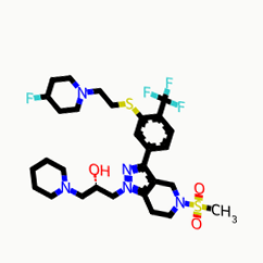 CS(=O)(=O)N1CCc2c(c(-c3ccc(C(F)(F)F)c(SCCN4CCC(F)CC4)c3)nn2C[C@@H](O)CN2CCCCC2)C1